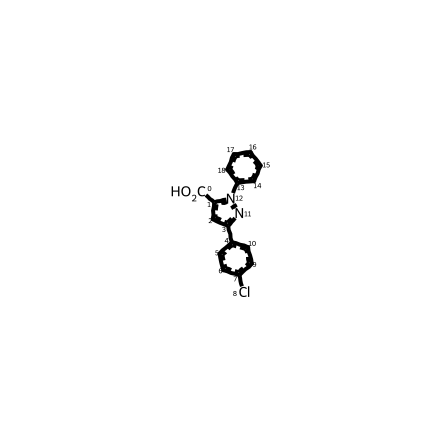 O=C(O)c1cc(-c2ccc(Cl)cc2)nn1-c1ccccc1